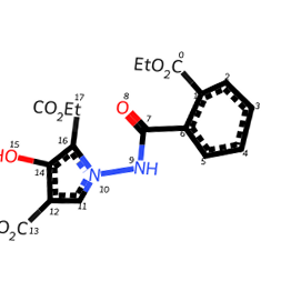 CCOC(=O)c1ccccc1C(=O)Nn1cc(C(=O)OCC)c(O)c1C(=O)OCC